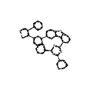 c1ccc(-c2nc(-c3ccccc3)nc(-c3cccc4oc5ccc(-c6cccc(-c7ccccc7-c7ccccc7)c6)cc5c34)n2)cc1